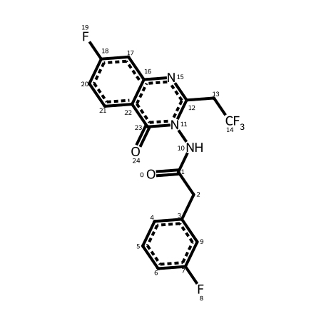 O=C(Cc1cccc(F)c1)Nn1c(CC(F)(F)F)nc2cc(F)ccc2c1=O